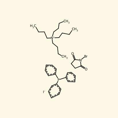 CCCC[N+](CCCC)(CCCC)CCCC.O=C1CCC(=O)N1Br.[I-].c1ccc(P(c2ccccc2)c2ccccc2)cc1